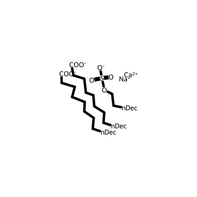 CCCCCCCCCCCCCCCCCC(=O)[O-].CCCCCCCCCCCCCCCCCC(=O)[O-].CCCCCCCCCCCCOS(=O)(=O)[O-].[Ca+2].[Na+]